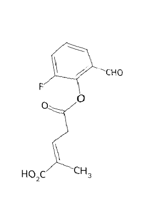 CC(=CCC(=O)Oc1c(F)cccc1C=O)C(=O)O